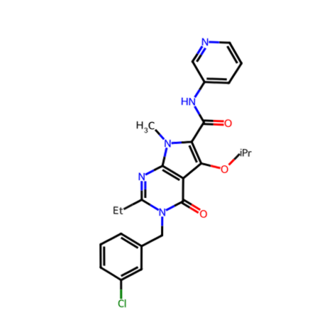 CCc1nc2c(c(OC(C)C)c(C(=O)Nc3cccnc3)n2C)c(=O)n1Cc1cccc(Cl)c1